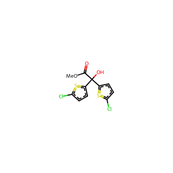 COC(=O)C(O)(c1ccc(Cl)s1)c1ccc(Cl)s1